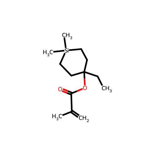 C=C(C)C(=O)OC1(CC)CC[Si](C)(C)CC1